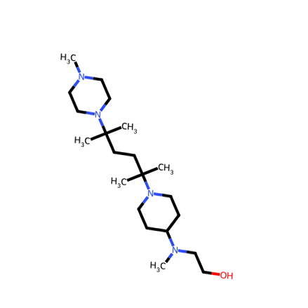 CN1CCN(C(C)(C)CCC(C)(C)N2CCC(N(C)CCO)CC2)CC1